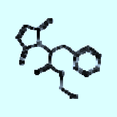 CC(=O)COC(=O)C(Cc1ccccc1)N1C(=O)C=CC1=O